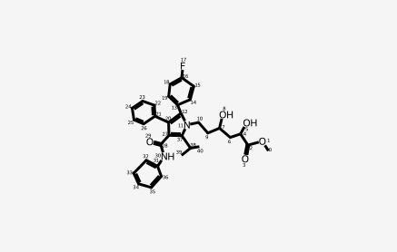 COC(=O)C(O)CC(O)CCn1c(-c2ccc(F)cc2)c(-c2ccccc2)c(C(=O)Nc2ccccc2)c1C(C)C